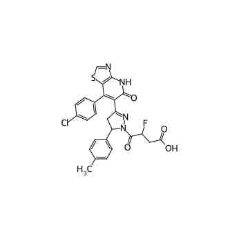 Cc1ccc(C2CC(c3c(-c4ccc(Cl)cc4)c4scnc4[nH]c3=O)=NN2C(=O)C(F)CC(=O)O)cc1